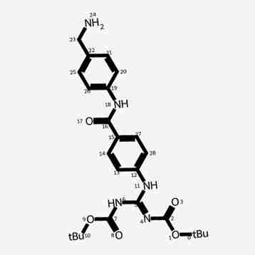 CC(C)(C)OC(=O)/N=C(/NC(=O)OC(C)(C)C)Nc1ccc(C(=O)Nc2ccc(CN)cc2)cc1